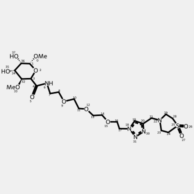 CO[C@@H]1OC(C(=O)NCCOCCOCCOCCn2cc(CN3CCS(=O)(=O)CC3)nn2)[C@@H](OC)[C@H](O)[C@@H]1O